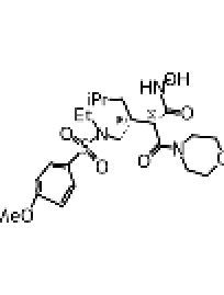 CCN(C[C@H](CC(C)C)[C@H](C(=O)NO)C(=O)N1CCOCC1)S(=O)(=O)c1ccc(OC)cc1